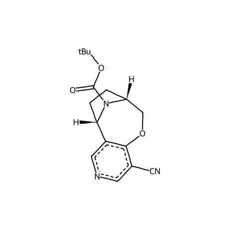 CC(C)(C)OC(=O)N1[C@@H]2CC[C@H]1c1cncc(C#N)c1OC2